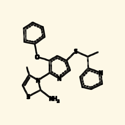 CC1=CSC(N)N1c1ncc(SC(C)c2ccccn2)cc1Oc1ccccc1